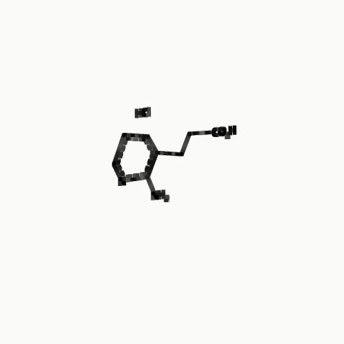 Cl.Nc1ncccc1CCC(=O)O